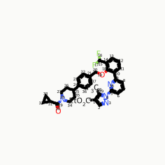 CCOC(=O)c1cnn(-c2cccc(-c3cccc(C(F)F)c3OCc3ccc(C4CCN(C(=O)C5CC5)CC4)cc3)n2)c1C(F)(F)F